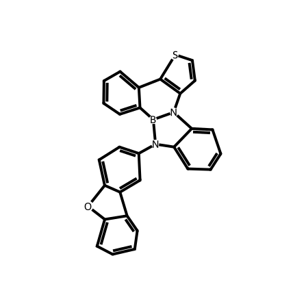 c1ccc2c(c1)B1N(c3ccc4oc5ccccc5c4c3)c3ccccc3N1c1ccsc1-2